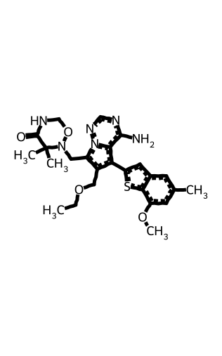 CCOCc1c(-c2cc3cc(C)cc(OC)c3s2)c2c(N)ncnn2c1CN1OCNC(=O)C1(C)C